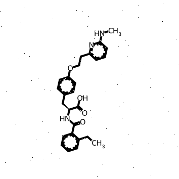 CCc1ccccc1C(=O)N[C@@H](Cc1ccc(OCCc2cccc(NC)n2)cc1)C(=O)O